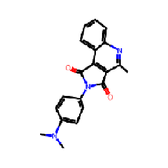 Cc1nc2ccccc2c2c1C(=O)N(c1ccc(N(C)C)cc1)C2=O